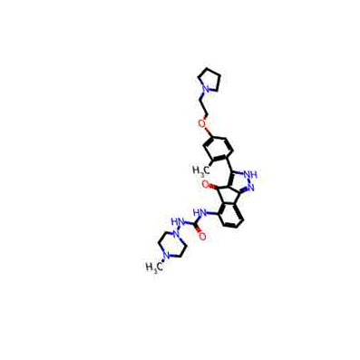 Cc1cc(OCCN2CCCC2)ccc1-c1[nH]nc2c1C(=O)c1c(NC(=O)NN3CCN(C)CC3)cccc1-2